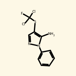 Nc1c(SC(F)(Cl)Cl)cnn1-c1ccccc1